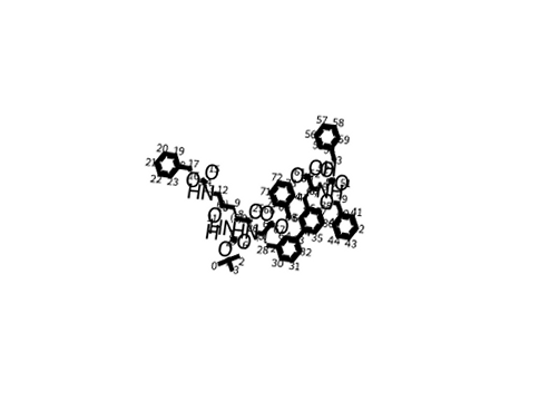 CC(C)(C)OC(=O)N[C@@H](C[C@@H](O)CNC(=O)OCc1ccccc1)C(=O)N[C@@H](Cc1cccc(-c2ccc(OCc3ccccc3)c(C[C@H](NC(=O)OCc3ccccc3)C(=O)O)c2)c1)C(=O)OCc1ccccc1